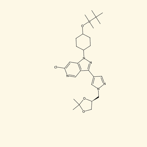 CC1(C)OC[C@H](Cn2cc(-c3nn(C4CCC(O[Si](C)(C)C(C)(C)C)CC4)c4cc(Cl)ncc34)cn2)O1